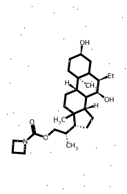 CC[C@@H]1C2C[C@H](O)CC[C@]2(C)[C@H]2CCC3(C)[C@@H]([C@H](C)COC(=O)N4CCC4)CC[C@H]3C2[C@@H]1O